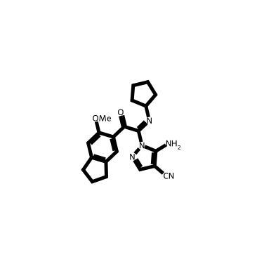 COc1cc2c(cc1C(=O)/C(=N\C1CCCC1)n1ncc(C#N)c1N)CCC2